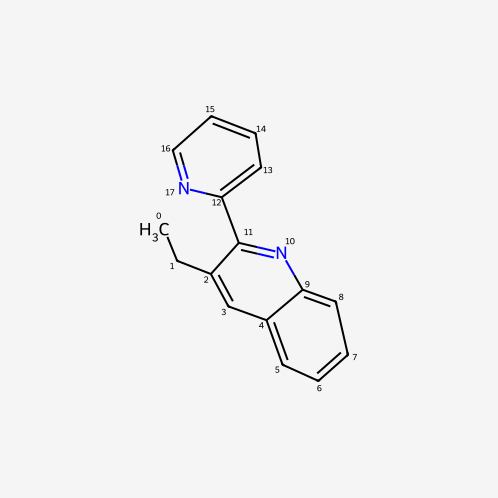 CCc1cc2ccccc2nc1-c1ccccn1